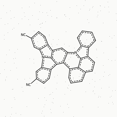 N#Cc1ccc2c3cc4c(c5cccc6ccc7c8ccccc8n4c7c65)c4c5ccc(C#N)cc5n(c2c1)c34